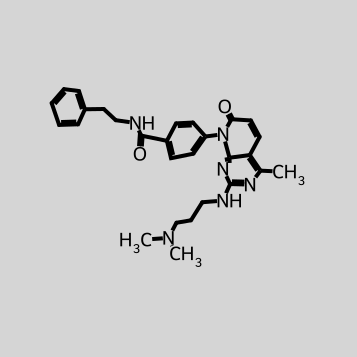 Cc1nc(NCCCN(C)C)nc2c1ccc(=O)n2-c1ccc(C(=O)NCCc2ccccc2)cc1